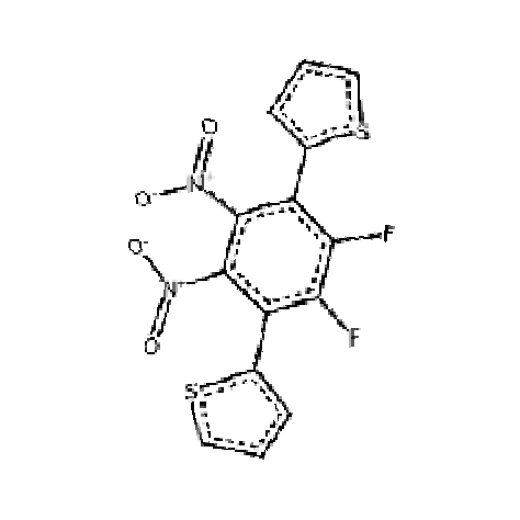 O=[N+]([O-])c1c(-c2cccs2)c(F)c(F)c(-c2cccs2)c1[N+](=O)[O-]